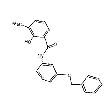 COc1ccnc(C(=O)Nc2cccc(OCc3ccccc3)c2)c1O